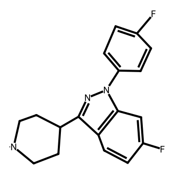 Fc1ccc(-n2nc(C3CC[N]CC3)c3ccc(F)cc32)cc1